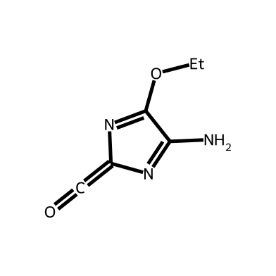 CCOC1=NC(=C=O)N=C1N